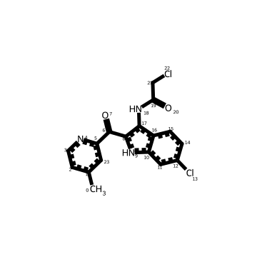 Cc1ccnc(C(=O)c2[nH]c3cc(Cl)ccc3c2NC(=O)CCl)c1